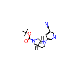 CC(C)(C)OC(=O)N1C[C@H]2CCN(c3cncc(C#N)c3)[C@H]2C1